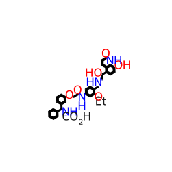 CCOc1cc(NC(=O)COc2cccc([C@@H](NC(=O)O)c3ccccc3)c2)ccc1CNCC(O)c1ccc(O)c2[nH]c(=O)ccc12